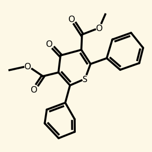 COC(=O)c1c(-c2ccccc2)sc(-c2ccccc2)c(C(=O)OC)c1=O